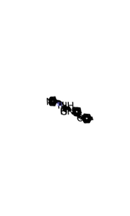 Cc1ccc(Oc2cccc(NCC(=O)N/N=C/c3ccncc3)c2)cc1